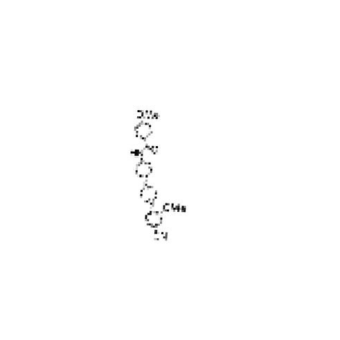 COc1ccc(C(=O)Nc2ccc(N3CCN(c4ccc(C#N)cc4OC)CC3)cc2)cc1